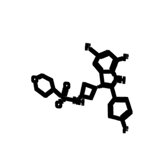 O=S(=O)(N[C@H]1C[C@@H](c2c(-c3ccc(F)cc3)[nH]c3c(F)cc(F)cc32)C1)C1CCOCC1